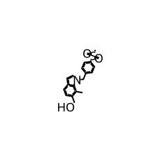 Cc1c(CO)ccc2ccn(Cc3ccc(S(C)(=O)=O)cc3)c12